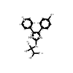 Fc1ccc(-c2nc(SC(F)(F)C(F)F)[nH]c2-c2ccncc2)cc1